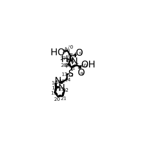 C[C@@H](O)[C@H]1C(=O)N2C(C(=O)O)=C(SCCc3ncc4ccccn34)[C@H](C)[C@H]12